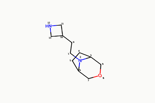 C(CN1C2CCC1COC2)C1CNC1